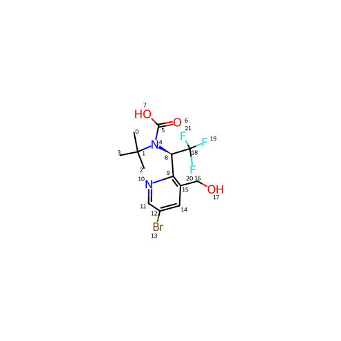 CC(C)(C)N(C(=O)O)[C@H](c1ncc(Br)cc1CO)C(F)(F)F